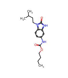 CCCCOC(=O)Nc1ccc2c(c1)[nH]c(=O)n2CCC(C)C